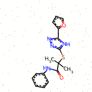 CC(C)(Sc1nnc(-c2ccco2)[nH]1)C(=O)Nc1ccccc1